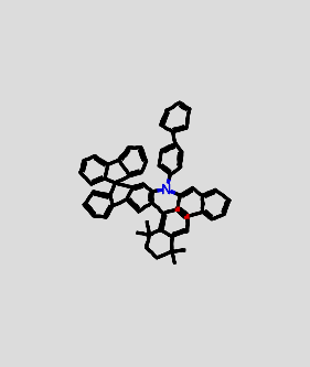 CC1(C)CCC(C)(C)c2c(-c3cc4c(cc3N(c3ccc(-c5ccccc5)cc3)c3ccc5ccccc5c3)C3(c5ccccc5-c5ccccc53)c3ccccc3-4)cccc21